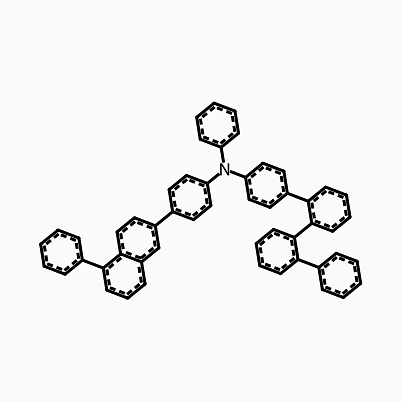 c1ccc(-c2ccccc2-c2ccccc2-c2ccc(N(c3ccccc3)c3ccc(-c4ccc5c(-c6ccccc6)cccc5c4)cc3)cc2)cc1